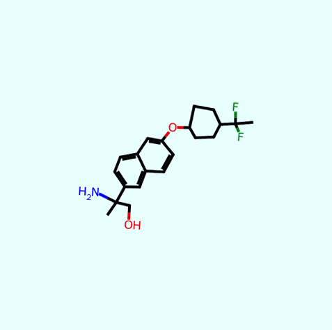 CC(N)(CO)c1ccc2cc(OC3CCC(C(C)(F)F)CC3)ccc2c1